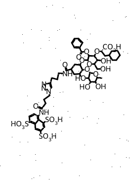 CC1CC(C(=O)NCCCc2cn(CCCC(=O)Nc3ccc(S(=O)(=O)O)c4cc(S(=O)(=O)O)cc(S(=O)(=O)O)c34)nn2)CC(OC2OC(CO)C(O)C(O[C@@H](CC3CCCCC3)C(=O)O)C2OC(=O)c2ccccc2)C1OC1OC(C)C(O)C(O)C1O